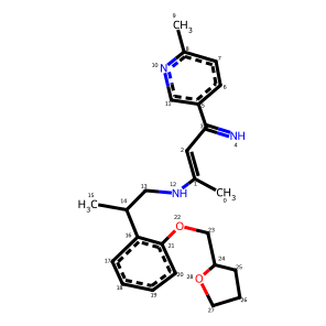 C/C(=C\C(=N)c1ccc(C)nc1)NCC(C)c1ccccc1OCC1CCCO1